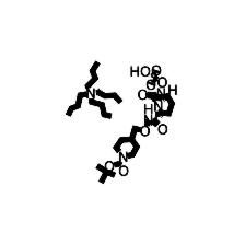 CC(C)(C)OC(=O)N1CCC(CONC(=O)[C@@H]2CC[C@@H]3CN2C(=O)N3OS(=O)(=O)O)CC1.CCCC[N+](CCCC)(CCCC)CCCC